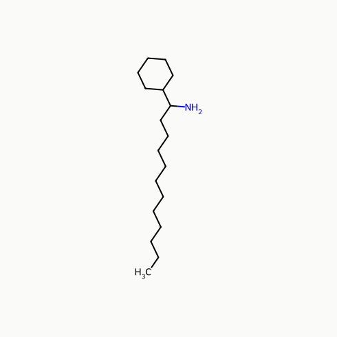 CCCCCCCCCCCC(N)C1CCCCC1